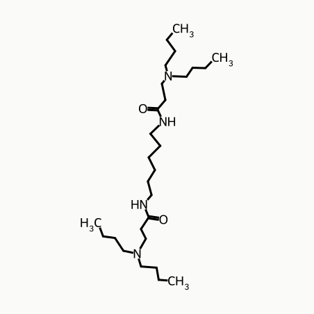 CCCCN(CCCC)CCC(=O)NCCCCCCNC(=O)CCN(CCCC)CCCC